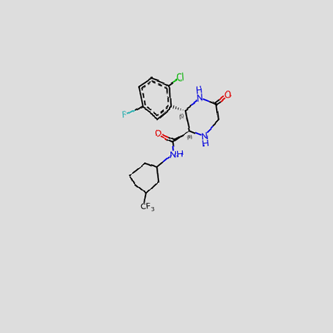 O=C1CN[C@@H](C(=O)NC2CCCC(C(F)(F)F)C2)[C@H](c2cc(F)ccc2Cl)N1